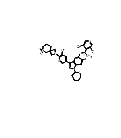 N#Cc1cc(-c2nn(C3CCCCO3)c3cc(F)c(O[C@H](N)c4c(Cl)cncc4Cl)cc23)cnc1N1CC2(CCCS(=O)(=O)C2)C1